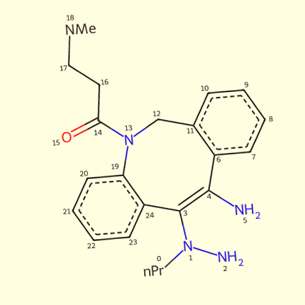 CCCN(N)/C1=C(\N)c2ccccc2CN(C(=O)CCNC)c2ccccc21